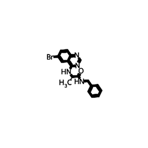 C[C@H](Nc1ncnc2ccc(Br)cc12)C(=O)NCc1ccccc1